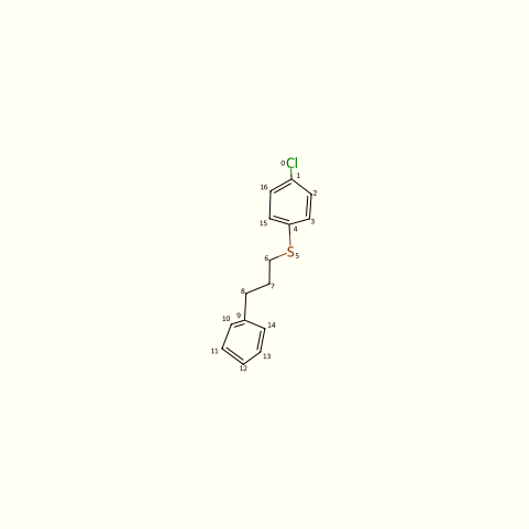 Clc1ccc(SCCCc2ccccc2)cc1